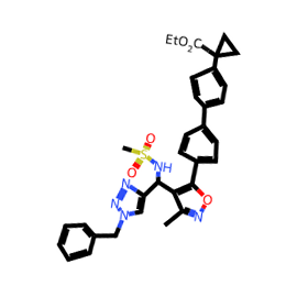 CCOC(=O)C1(c2ccc(-c3ccc(-c4onc(C)c4C(NS(C)(=O)=O)c4cn(Cc5ccccc5)nn4)cc3)cc2)CC1